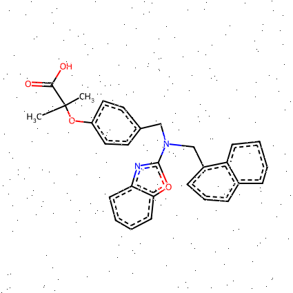 CC(C)(Oc1ccc(CN(Cc2cccc3ccccc23)c2nc3ccccc3o2)cc1)C(=O)O